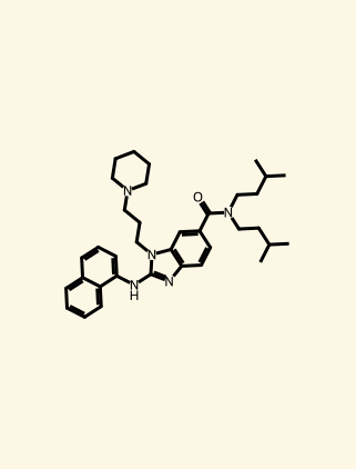 CC(C)CCN(CCC(C)C)C(=O)c1ccc2nc(Nc3cccc4ccccc34)n(CCCN3CCCCC3)c2c1